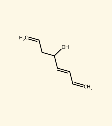 C=CC=CC(O)CC=C